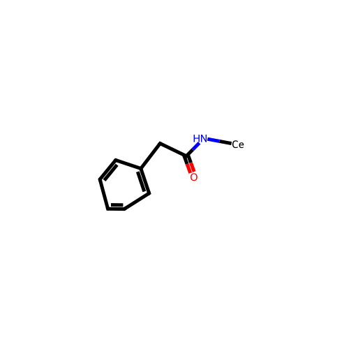 O=C(Cc1ccccc1)[NH][Ce]